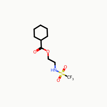 O=C(OCCNS(=O)(=O)C(F)(F)F)C1CCCCC1